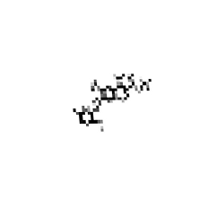 COc1cc2c(cc1OCc1nc(C)ccc1OC)CCN(C(=O)OC(C)(C)C)[C@@H]2C(C)C